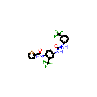 O=C(Nc1cccc(C(F)(F)F)c1)Nc1ccc(NC(=O)c2cccs2)c(C(F)(F)F)c1